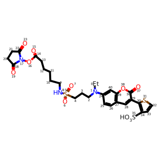 CCN(CCCS(=O)(=O)NCCCCCC(=O)ON1C(=O)CCC1=O)c1ccc2cc(-c3sccc3S(=O)(=O)O)c(=O)oc2c1